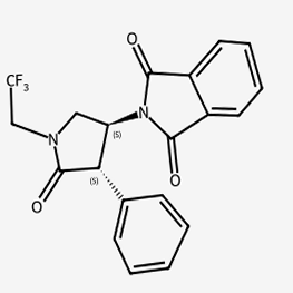 O=C1[C@@H](c2ccccc2)[C@H](N2C(=O)c3ccccc3C2=O)CN1CC(F)(F)F